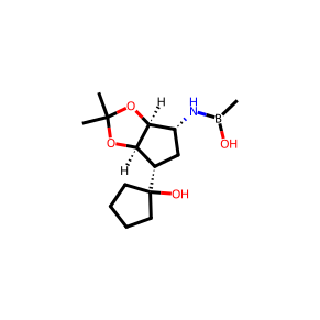 CB(O)N[C@@H]1C[C@H](C2(O)CCCC2)[C@H]2OC(C)(C)O[C@H]21